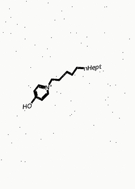 CCCCCCCCCCCC[n+]1ccc(O)cc1